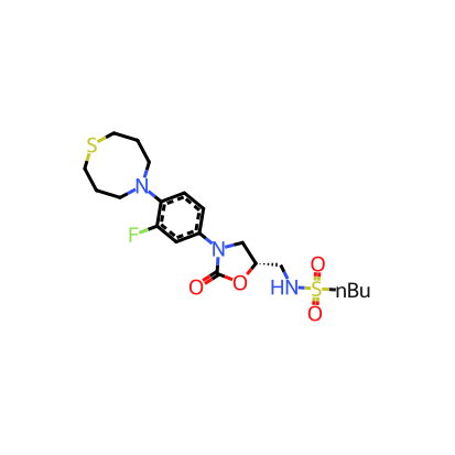 CCCCS(=O)(=O)NC[C@H]1CN(c2ccc(N3CCCSCCC3)c(F)c2)C(=O)O1